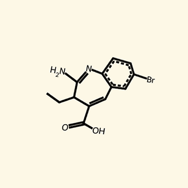 CCC1C(C(=O)O)=Cc2cc(Br)ccc2N=C1N